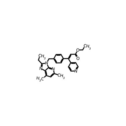 CCOC(=O)/C=C(\c1ccncc1)c1ccc(Cn2c(CC)nc3c(C)cc(C)nc32)cc1